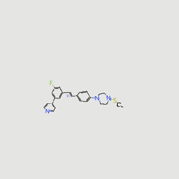 CCSN1CCN(c2ccc(/C=C/c3cc(F)cc(-c4ccncc4)c3)cc2)CC1